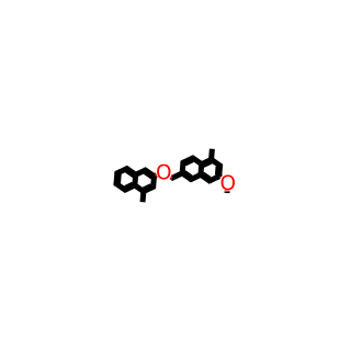 COc1cc(C)c2ccc(COc3cc(C)c4ccccc4c3)cc2c1